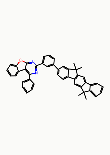 CC1(C)c2ccccc2-c2cc3c(cc21)-c1ccc(-c2cccc(-c4nc(-c5ccccc5)c5c(n4)oc4ccccc45)c2)cc1C3(C)C